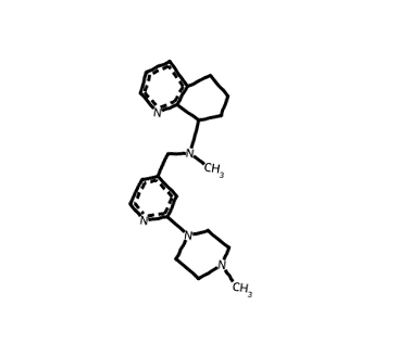 CN1CCN(c2cc(CN(C)C3CCCc4cccnc43)ccn2)CC1